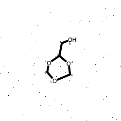 OCC1OCOCO1